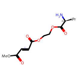 COC(=O)/C=C/C(=O)OCCOC(=O)[C@@H](N)C(C)C